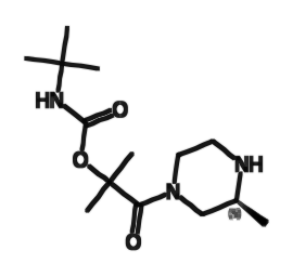 C[C@H]1CN(C(=O)C(C)(C)OC(=O)NC(C)(C)C)CCN1